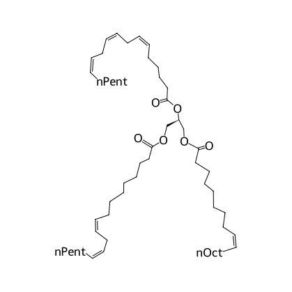 CCCCC/C=C\C/C=C\C/C=C\CCCCC(=O)O[C@H](COC(=O)CCCCCCC/C=C\C/C=C\CCCCC)COC(=O)CCCCCCC/C=C\CCCCCCCC